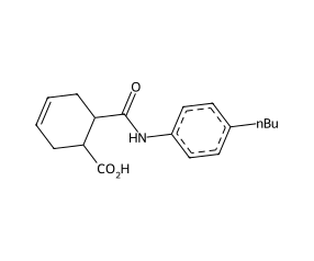 CCCCc1ccc(NC(=O)C2CC=CCC2C(=O)O)cc1